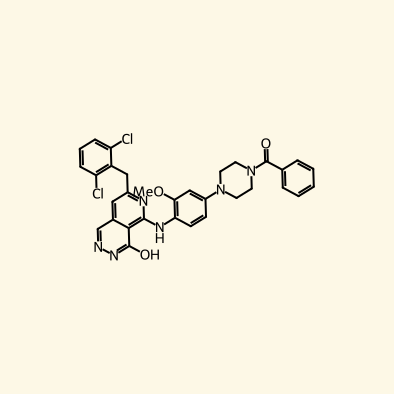 COc1cc(N2CCN(C(=O)c3ccccc3)CC2)ccc1Nc1nc(Cc2c(Cl)cccc2Cl)cc2cnnc(O)c12